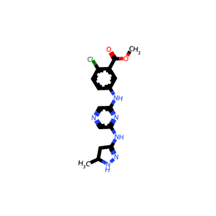 COC(=O)c1cc(Nc2cncc(NC3=NNC(C)C3)n2)ccc1Cl